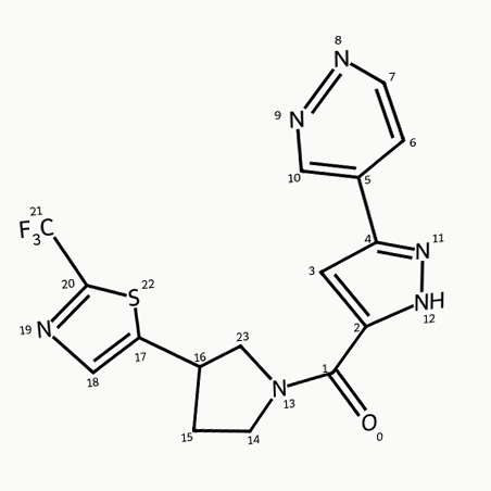 O=C(c1cc(-c2ccnnc2)n[nH]1)N1CCC(c2cnc(C(F)(F)F)s2)C1